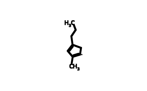 CCCC1=CC(C)=[C]C1